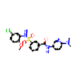 COc1ccc(Cl)cc1NS(=O)(=O)c1cccc(C(=O)Nc2ccc(N(C)C)nc2)c1